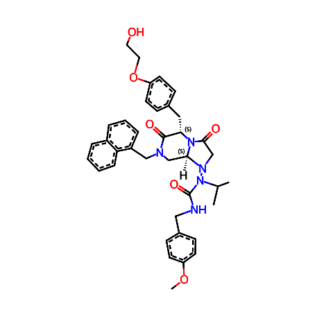 COc1ccc(CNC(=O)N(C(C)C)N2CC(=O)N3[C@@H](Cc4ccc(OCCO)cc4)C(=O)N(Cc4cccc5ccccc45)C[C@@H]32)cc1